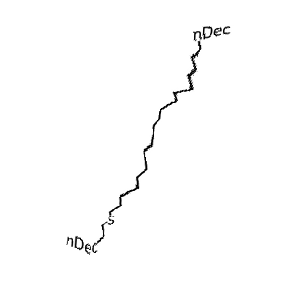 CCCCCCCCCCCCCCCCCCCCCCCCCCCCSCCCCCCCCCCCC